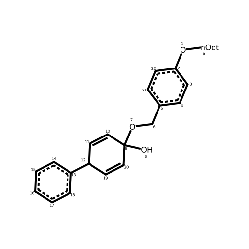 CCCCCCCCOc1ccc(COC2(O)C=CC(c3ccccc3)C=C2)cc1